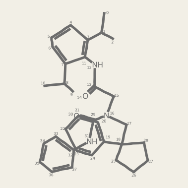 CC(C)c1cccc(C(C)C)c1NC(=O)CN(CC1(c2ccccc2)CCCC1)C(=O)Nc1ccccc1